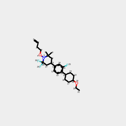 C=CCCON1C(C)(C)CC(c2ccc(C3CCC(OCC)CC3)c(F)c2)CC1(F)F